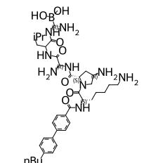 CCCCc1ccc(-c2ccc(C(=O)N[C@@H](CCCCCN)C(=O)N3C[C@H](N)C[C@H]3C(=O)N[C@@H](N)C(=O)NC(CC(C)C)C(=O)N[C@@H](N)B(O)O)cc2)cc1